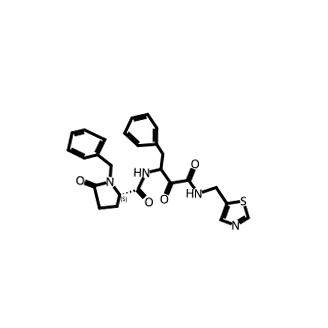 O=C(NCc1cncs1)C(=O)C(Cc1ccccc1)NC(=O)[C@@H]1CCC(=O)N1Cc1ccccc1